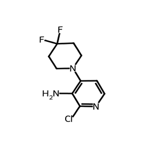 Nc1c(N2CCC(F)(F)CC2)ccnc1Cl